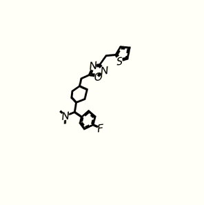 CN(C)C(c1ccc(F)cc1)C1CCC(Cc2nc(Cc3cccs3)no2)CC1